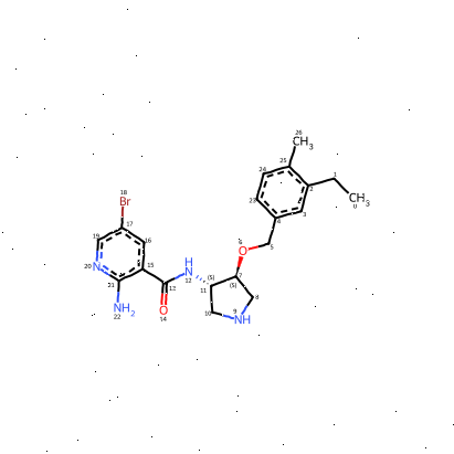 CCc1cc(CO[C@H]2CNC[C@@H]2NC(=O)c2cc(Br)cnc2N)ccc1C